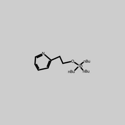 CCC[CH2][Sn]([CH2]CCC)([CH2]CCC)[O]CCc1ccccn1